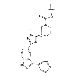 Cn1nc(-c2ccc3[nH]nc(-c4ccncc4)c3c2)nc1[C@@H]1CCCN(C(=O)OC(C)(C)C)C1